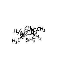 C=C(C)C=C(C)NCCC[Si](OCC)(OCC)OCC.[SiH4]